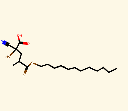 CCCCCCCCCCCCSC(=S)C(C)CC(S)(C#N)C(=O)O